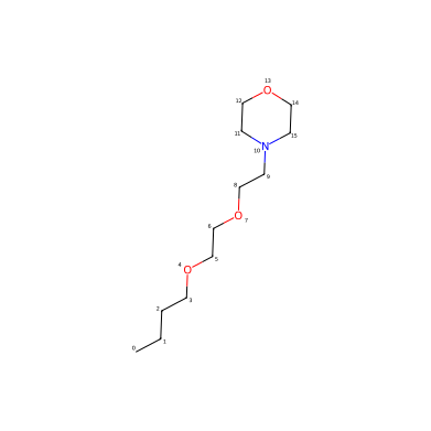 CCCCOCCOCCN1CCOCC1